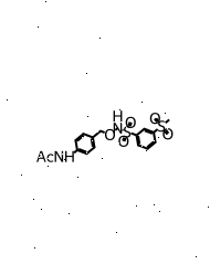 CC(=O)Nc1ccc(CONS(=O)(=O)c2cccc(S(C)(=O)=O)c2)cc1